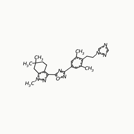 Cc1cc(-c2noc(-c3nn(C)c4c3CCC(C)(C)C4)n2)cc(C)c1CCn1cncn1